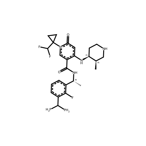 C[C@@H]1CNCC[C@@H]1Nc1cc(=O)n(C2(C(F)F)CC2)cc1C(=O)N[C@H](C)c1cccc(C(P)P)c1F